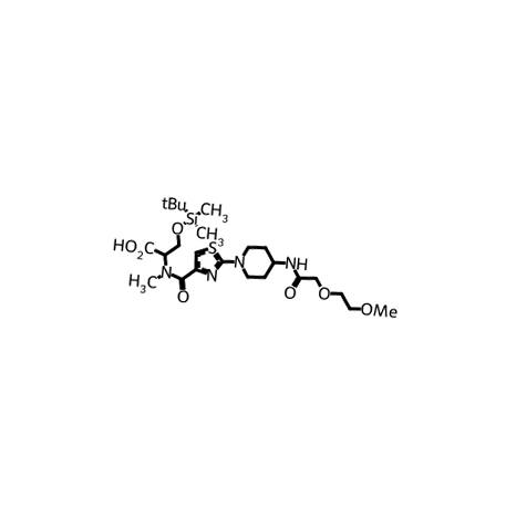 COCCOCC(=O)NC1CCN(c2nc(C(=O)N(C)C(CO[Si](C)(C)C(C)(C)C)C(=O)O)cs2)CC1